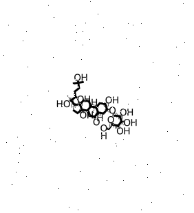 CC(C)(O)CCC(O)[C@](C)(O)[C@H]1CC[C@@]2(O)C3=CC(=O)[C@@H]4C[C@@H](O[C@H]5O[C@H](CO)[C@H](O)[C@H](O)[C@H]5O)[C@@H](O)C[C@]4(C)[C@H]3CC[C@]12C